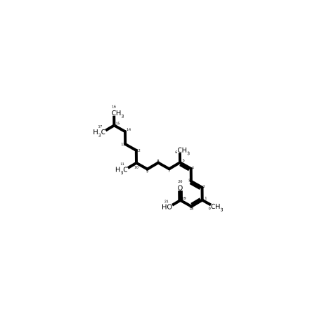 CC(C=CC=C(C)CCCC(C)CCCC(C)C)=CC(=O)O